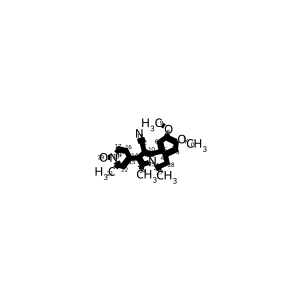 COc1cc2c(cc1OC)-c1c(C#N)c(-c3cc[n+]([O-])c(C)c3)c(C)n1C(C)C2